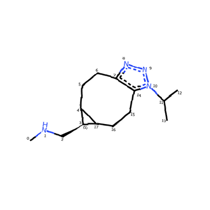 CNC[C@H]1C2CCc3nnn(C(C)C)c3CCC21